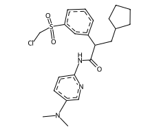 CN(C)c1ccc(NC(=O)C(CC2CCCC2)c2cccc(S(=O)(=O)CCl)c2)nc1